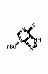 CCCCn1cnc(=S)c2[nH]cnc21